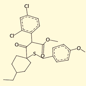 CCC1CCC(SCc2ccc(OC)cc2)(C(=O)C(C(=O)OC)c2ccc(Cl)cc2Cl)CC1